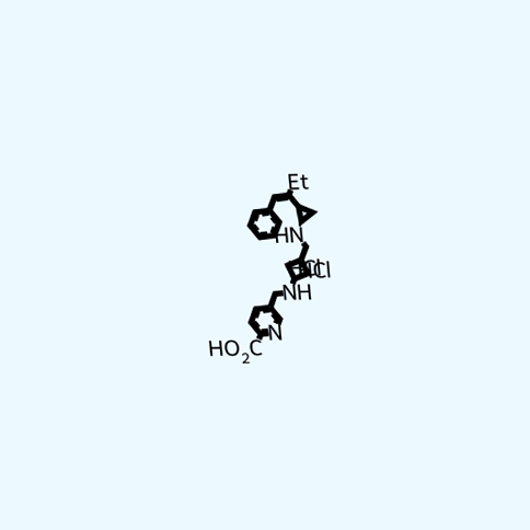 CCC(=Cc1ccccc1)C1C[C@@H]1NCC1CC(NCc2ccc(C(=O)O)nc2)C1.Cl.Cl